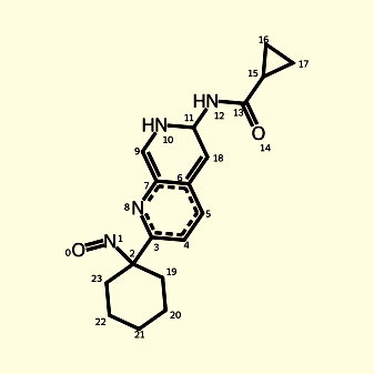 O=NC1(c2ccc3c(n2)=CNC(NC(=O)C2CC2)C=3)CCCCC1